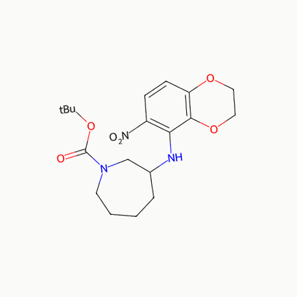 CC(C)(C)OC(=O)N1CCCCC(Nc2c([N+](=O)[O-])ccc3c2OCCO3)C1